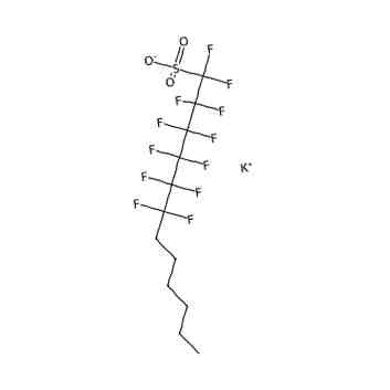 CCCCCCC(F)(F)C(F)(F)C(F)(F)C(F)(F)C(F)(F)C(F)(F)S(=O)(=O)[O-].[K+]